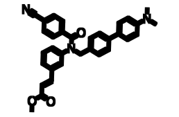 COC(=O)/C=C/c1cccc(N(Cc2ccc(-c3ccc(N(C)C)cc3)cc2)C(=O)c2ccc(C#N)cc2)c1